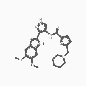 COc1cc2nc(-c3n[nH]cc3NC(=O)c3ccc(CN4CCCCC4)o3)[nH]c2cc1OC